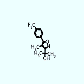 Cc1c(C(C)(C)O)noc1-c1ccc(C(F)(F)F)cc1